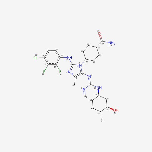 C=N/C(=N\c1c(C)nc(Nc2ccc(Cl)c(F)c2F)n1[C@H]1CC[C@@H](C(N)=O)CC1)N[C@@H]1CC[C@@H](C)[C@H](O)C1